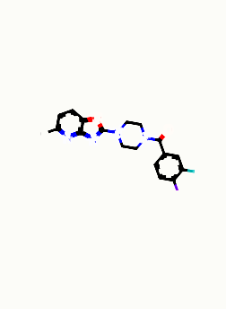 Cc1ccc2oc(N3CCN(C(=O)c4ccc(I)c(F)c4)CC3)nc2n1